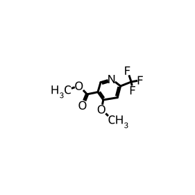 COC(=O)c1cnc(C(F)(F)F)cc1OC